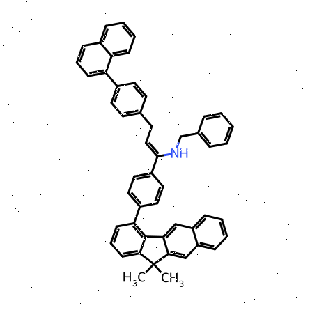 CC1(C)c2cc3ccccc3cc2-c2c(-c3ccc(/C(=C/Cc4ccc(-c5cccc6ccccc56)cc4)NCc4ccccc4)cc3)cccc21